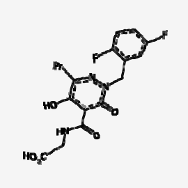 CC(C)c1nn(Cc2cc(F)ccc2F)c(=O)c(C(=O)NCC(=O)O)c1O